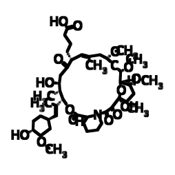 CO[C@H]1C/C(C)=C/[C@@H](CCCC(=O)O)C(=O)C[C@H](O)[C@@H](C)[C@@H](/C(C)=C/[C@@H]2CC[C@@H](O)[C@H](OC)C2)OC(=O)[C@@H]2CCCCN2C(=O)C(=O)[C@]2(O)O[C@H]([C@@H](OC)C1)[C@@H](OC)C[C@H]2C